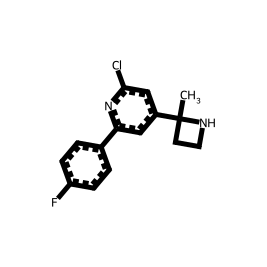 CC1(c2cc(Cl)nc(-c3ccc(F)cc3)c2)CCN1